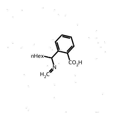 C=NC(CCCCCC)c1ccccc1C(=O)O